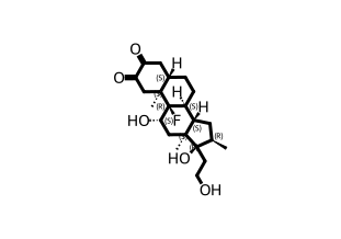 C[C@@H]1C[C@H]2[C@@H]3CC[C@H]4CC(=O)C(=O)C[C@]4(C)[C@@]3(F)[C@@H](O)C[C@]2(C)[C@@]1(O)CCO